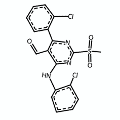 CS(=O)(=O)c1nc(Nc2ccccc2Cl)c(C=O)c(-c2ccccc2Cl)n1